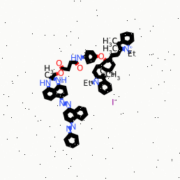 CCN1/C(=C/C=C2\CCCC(/C=C/C3=[N+](CC)c4ccccc4C3(C)C)=C2Oc2ccc(NC(=O)CCC(=O)OCC3(C)Nc4cccc5c(/N=N/c6ccc(/N=N/c7ccccc7)c7ccccc67)ccc(c45)N3)cc2)C(C)(C)c2ccccc21.[I-]